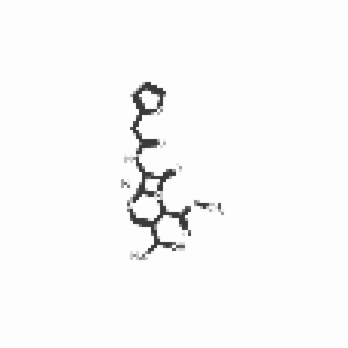 COC(=O)C1C(C(C)O)=CS[C@H]2C(NC(=O)Cc3cccs3)C(=O)N12